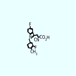 Cc1ccc(Cn2cc(/C=C(\C#N)C(=O)O)c3cc(F)ccc32)cc1F